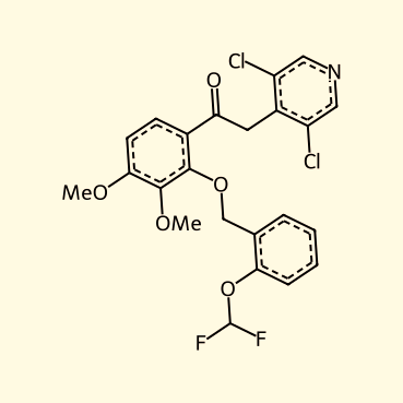 COc1ccc(C(=O)Cc2c(Cl)cncc2Cl)c(OCc2ccccc2OC(F)F)c1OC